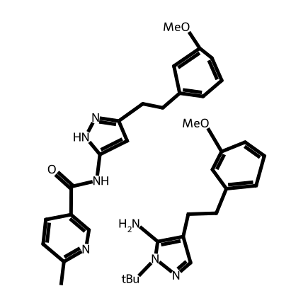 COc1cccc(CCc2cc(NC(=O)c3ccc(C)nc3)[nH]n2)c1.COc1cccc(CCc2cnn(C(C)(C)C)c2N)c1